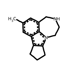 Cc1cc2c3c(c1)c1c(n3CCNC2)CCC1